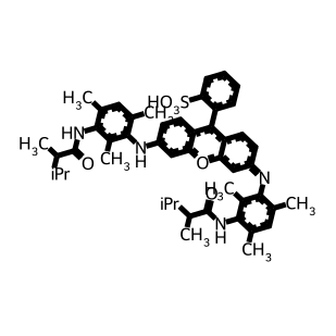 Cc1cc(C)c(NC(=O)C(C)C(C)C)c(C)c1/N=c1/ccc2c(-c3ccccc3S(=O)(=O)O)c3ccc(Nc4c(C)cc(C)c(NC(=O)C(C)C(C)C)c4C)cc3oc-2c1